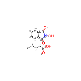 CCCCC(=O)O.O=C1c2ccccc2C(=O)N1O